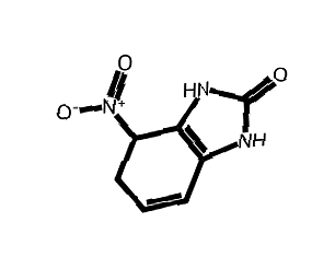 O=c1[nH]c2c([nH]1)C([N+](=O)[O-])CC=C2